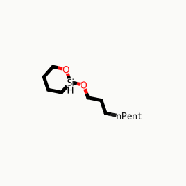 CCCCCCCCO[SiH]1CCCCO1